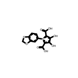 O=C(O)c1c(O)c(O)c(C(=O)O)n1-c1ccc2c(c1)OCO2